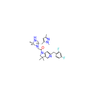 Cc1cc(C[C@H]2CN[C@H](C)CN2CC(=O)N2CC(C)(C)c3cnc(Cc4ccc(F)cc4F)cc32)n(C)n1